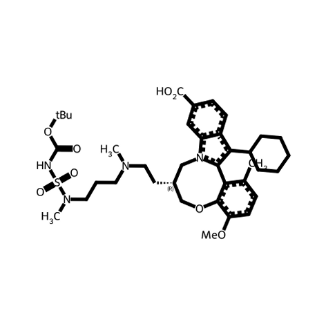 COc1ccc(C)c2c1OC[C@H](CCN(C)CCCN(C)S(=O)(=O)NC(=O)OC(C)(C)C)Cn1c-2c(C2CCCCC2)c2ccc(C(=O)O)cc21